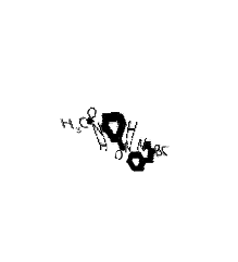 CC(=O)Nc1cccc(C(=O)Nc2cccc3cc(Br)cnc23)c1